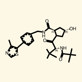 Cc1ncsc1-c1ccc(CNC(=O)[C@H]2C[C@H](O)CC2C(=O)[C@H](NC(=O)C(C)(C)C)C(C)(C)C)cc1